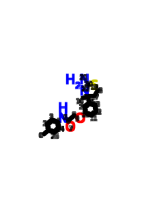 Cc1ccc(NC(=O)COc2cccc(C3(C)CCSC(N)=N3)c2)cc1